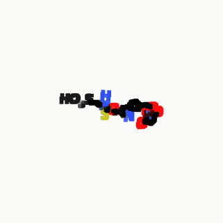 O=C(Cc1ccc2cc(COC(=S)NCCCS(=O)(=O)O)cnc2c1)ON1C(=O)CCC1=O